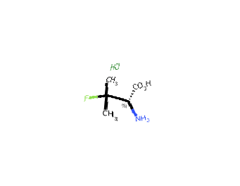 CC(C)(F)[C@@H](N)C(=O)O.Cl